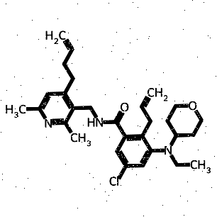 C=CCCc1cc(C)nc(C)c1CNC(=O)c1cc(Cl)cc(N(CC)C2CCOCC2)c1CC=C